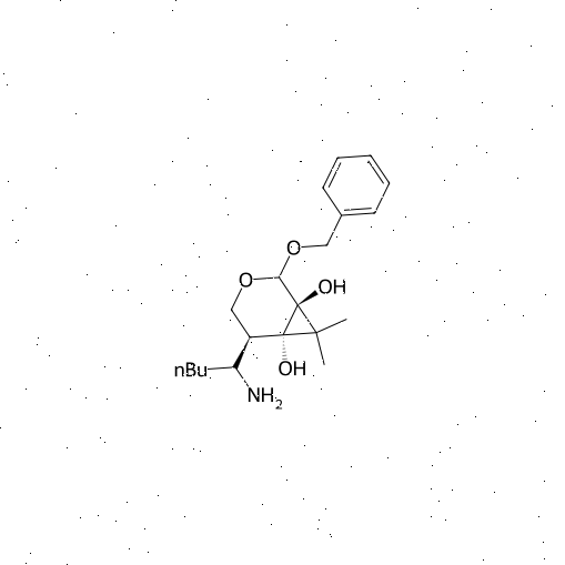 CCCCC(N)[C@H]1COC(OCc2ccccc2)[C@]2(O)C(C)(C)[C@@]12O